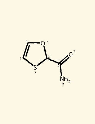 NC(=O)C1OC=CS1